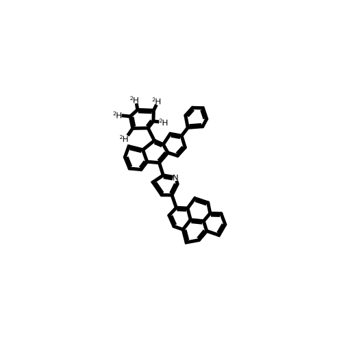 [2H]c1c([2H])c([2H])c(-c2c3ccccc3c(-c3ccc(-c4ccc5ccc6cccc7ccc4c5c67)cn3)c3ccc(-c4ccccc4)cc23)c([2H])c1[2H]